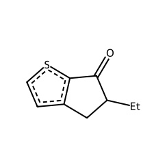 CCC1Cc2ccsc2C1=O